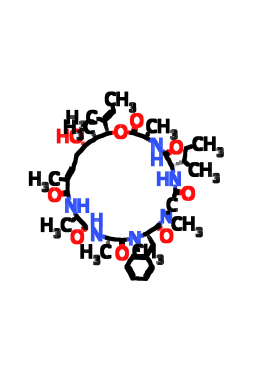 C/C=C(\C)[C@H]1OC(=O)[C@@H](C)NC(=O)[C@H](C(C)CC)NC(=O)CN(C)C(=O)[C@@H](Cc2ccccc2)N(C)C(=O)[C@H](C)NC(=O)[C@@H](C)NC(=O)/C(C)=C/C[C@H](O)[C@@H]1C